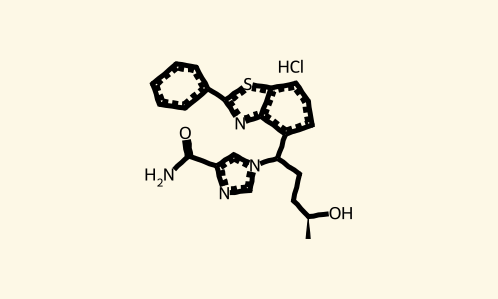 C[C@H](O)CCC(c1cccc2sc(-c3ccccc3)nc12)n1cnc(C(N)=O)c1.Cl